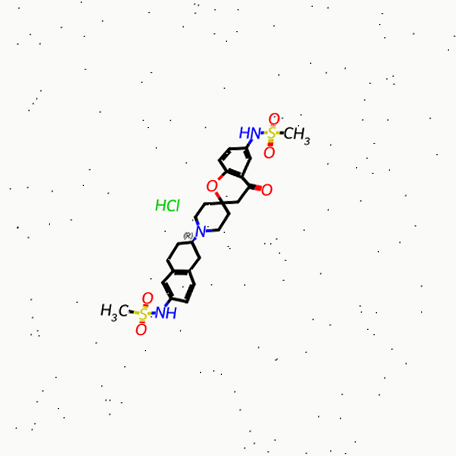 CS(=O)(=O)Nc1ccc2c(c1)CC[C@@H](N1CCC3(CC1)CC(=O)c1cc(NS(C)(=O)=O)ccc1O3)C2.Cl